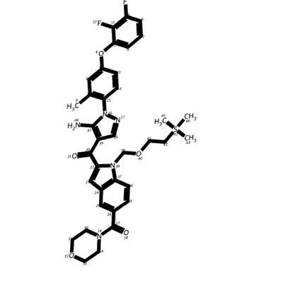 Cc1cc(Oc2cccc(F)c2F)ccc1-n1ncc(C(=O)c2cc3cc(C(=O)N4CCOCC4)ccc3n2COCCS(C)(C)C)c1N